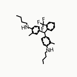 CCCCNc1ccc(C(c2ccc(NCCCC)c(C)c2)c2ccccc2C(F)(F)F)cc1C